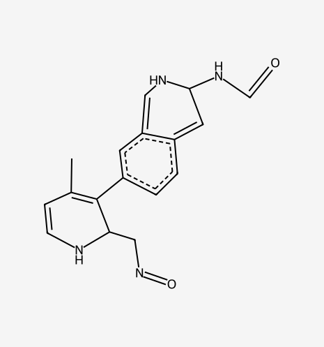 CC1=C(c2ccc3c(c2)=CNC(NC=O)C=3)C(CN=O)NC=C1